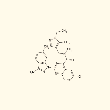 CCn1ncc(CN(C)C(=O)c2nc(-n3nc(N)c4ccc(C)cc43)nc3ccc(Cl)cc23)c1C